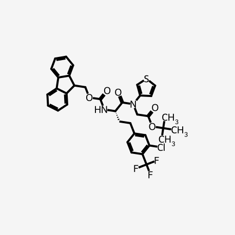 CC(C)(C)OC(=O)CN(C(=O)[C@H](CCc1ccc(C(F)(F)F)c(Cl)c1)NC(=O)OCC1c2ccccc2-c2ccccc21)c1ccsc1